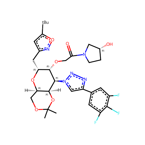 CC1(C)OC[C@H]2O[C@H](Cc3cc(C(C)(C)C)on3)[C@H](OCC(=O)N3CC[C@@H](O)C3)[C@@H](n3cc(-c4cc(F)c(F)c(F)c4)nn3)[C@H]2O1